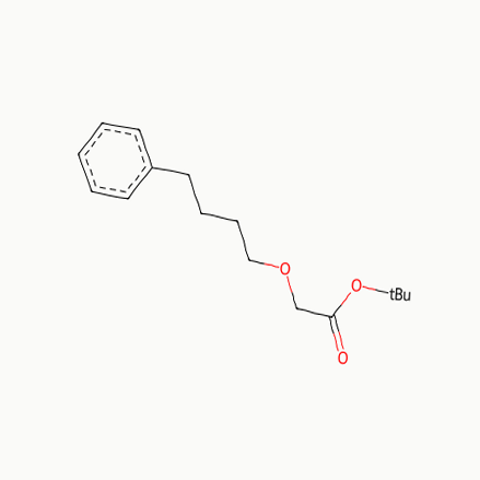 CC(C)(C)OC(=O)COCCCCc1ccccc1